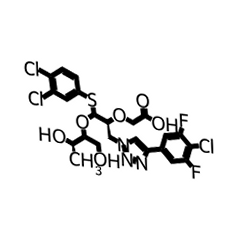 C[C@@H](O)C(CO)OC(Sc1ccc(Cl)c(Cl)c1)[C@H](Cn1cc(-c2cc(F)c(Cl)c(F)c2)nn1)OCC(=O)O